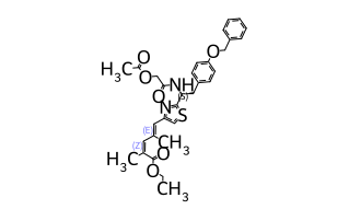 CCOC(=O)/C(C)=C\C(C)=C\c1csc([C@H](Cc2ccc(OCc3ccccc3)cc2)NC(=O)COC(C)=O)n1